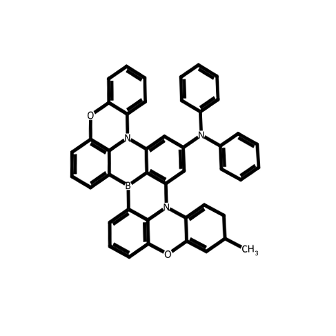 CC1C=C2Oc3cccc4c3N(C2=CC1)c1cc(N(c2ccccc2)c2ccccc2)cc2c1B4c1cccc3c1N2c1ccccc1O3